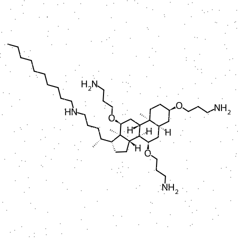 CCCCCCCCCCNCCC[C@@H](C)[C@H]1CC[C@H]2[C@@H]3[C@H](OCCCN)C[C@@H]4C[C@H](OCCCN)CC[C@]4(C)[C@H]3C[C@H](OCCCN)[C@]12C